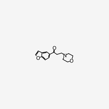 O=C(CCN1CCOCC1)c1ccc2occc2c1